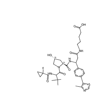 Cc1ncsc1-c1ccc(C(CC(=O)NCCCCC(=O)O)NC(=O)[C@@H]2C[C@@H](O)CN2C(=O)C(NC(=O)C2(F)CC2)C(C)(C)C)cc1